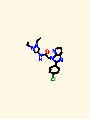 CCN1CC(NC(=O)Cn2c(-c3ccc(Cl)cc3)nc3cccnc32)CN1CC